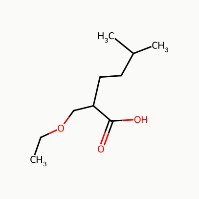 CCOCC(CCC(C)C)C(=O)O